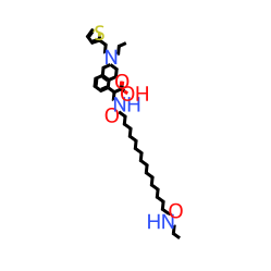 CCCNC(=O)CCCCCCCCCCCCCCCCC(=O)NCC(C(=O)O)c1cccc2c1CCC(N(CCC)CCc1cccs1)C2